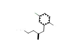 C=C(CCC(C)CCC)Cc1cc(Cl)ccc1CC